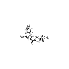 CN[C@@H]1CN(C(=O)N2CCN(S(C)(=O)=O)CC2)C[C@H]1c1ccc(Cl)cc1